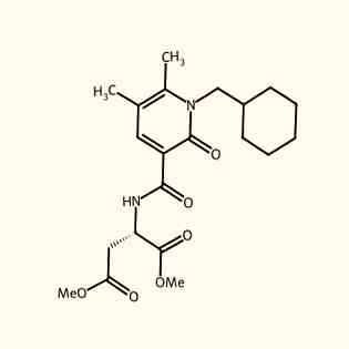 COC(=O)C[C@H](NC(=O)c1cc(C)c(C)n(CC2CCCCC2)c1=O)C(=O)OC